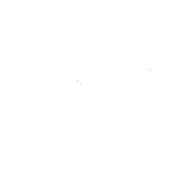 O=C(NCc1ccccc1)c1cnc(-c2ccccc2)s1